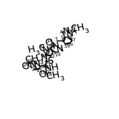 CCn1ncc2c(Cn3ncc4c5sc(C(NC(C)=O)c6ccn(C(C)=O)n6)nc5n(C)c4c3=O)cccc21